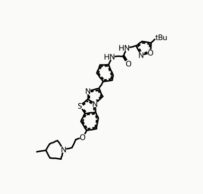 CC1CCN(CCOc2ccc3c(c2)sc2nc(-c4ccc(NC(=O)Nc5cc(C(C)(C)C)on5)cc4)cn23)CC1